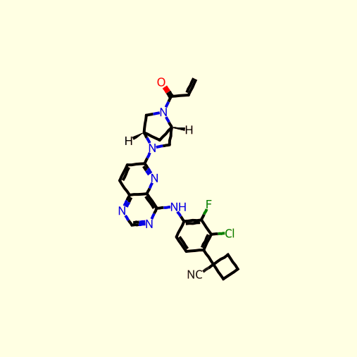 C=CC(=O)N1C[C@@H]2C[C@H]1CN2c1ccc2ncnc(Nc3ccc(C4(C#N)CCC4)c(Cl)c3F)c2n1